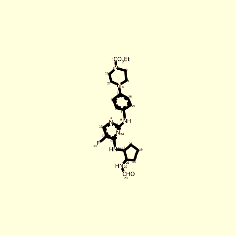 CCOC(=O)N1CCN(c2ccc(Nc3ncc(F)c(NC4CCCC4NC=O)n3)cc2)CC1